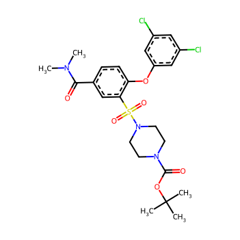 CN(C)C(=O)c1ccc(Oc2cc(Cl)cc(Cl)c2)c(S(=O)(=O)N2CCN(C(=O)OC(C)(C)C)CC2)c1